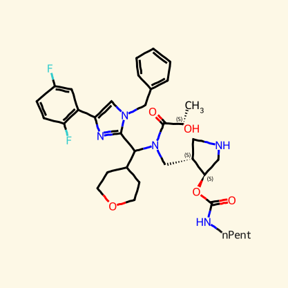 CCCCCNC(=O)O[C@@H]1CNC[C@H]1CN(C(=O)[C@H](C)O)C(c1nc(-c2cc(F)ccc2F)cn1Cc1ccccc1)C1CCOCC1